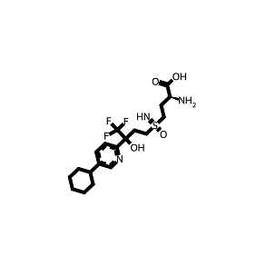 N=S(=O)(CC[C@H](N)C(=O)O)CCC(O)(c1ccc(C2CCCCC2)cn1)C(F)(F)F